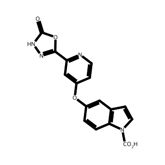 O=C(O)n1ccc2cc(Oc3ccnc(-c4n[nH]c(=O)o4)c3)ccc21